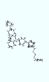 CC(=O)NCCCCn1nnc(-c2ccc(C3=CC4(CCN(C(=O)OC(C)(C)C)CC4)Oc4ccccc43)cc2)n1